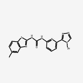 Cc1ccc2sc(NC(=O)Nc3cccc(-c4nncn4C(C)C)n3)nc2c1